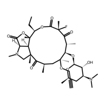 C#CCO[C@@]1(C)C[C@@H](C)C(=O)[C@]2(C)CN(C)[C@H]3C(=O)O[C@](C)([C@@H](CC)OC(=O)[C@](C)(F)C(=O)[C@H](C)[C@H]1O[C@@H]1O[C@H](C)C[C@H](N(C)C)[C@H]1O)[C@H]32